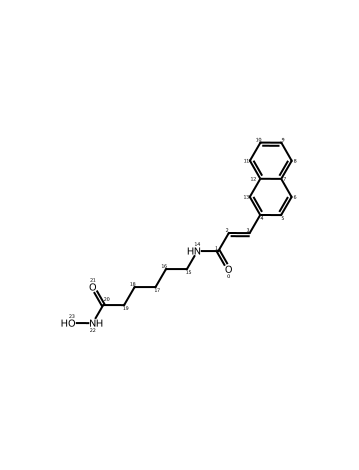 O=C(C=Cc1ccc2ccccc2c1)NCCCCCC(=O)NO